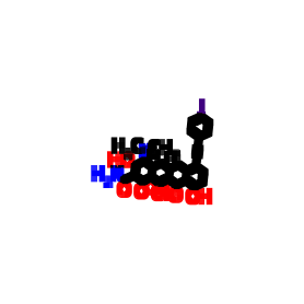 CN(C)[C@@H]1C(O)=C(C(N)=O)C(=O)[C@@]2(O)C(O)=C3C(=O)c4c(O)ccc(C#Cc5ccc(I)cc5)c4C[C@H]3C[C@@H]12